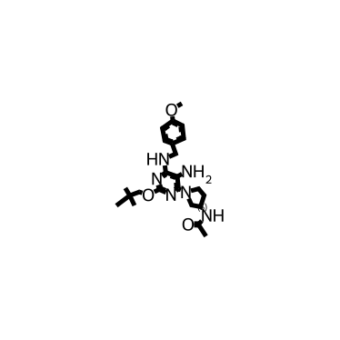 COc1ccc(CNc2nc(OCC(C)(C)C)nc(N3CC[C@H](NC(C)=O)C3)c2N)cc1